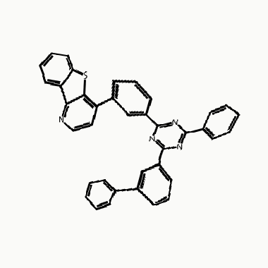 c1ccc(-c2cccc(-c3nc(-c4ccccc4)nc(-c4cccc(-c5ccnc6c5sc5ccccc56)c4)n3)c2)cc1